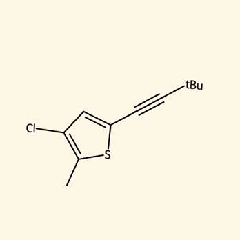 Cc1sc(C#CC(C)(C)C)cc1Cl